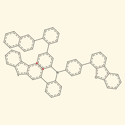 c1cc(-c2ccccc2-c2ccc3ccccc3c2)cc(N(c2ccc(-c3cccc4c3oc3ccccc34)cc2)c2ccccc2-c2ccc3c(c2)sc2ccccc23)c1